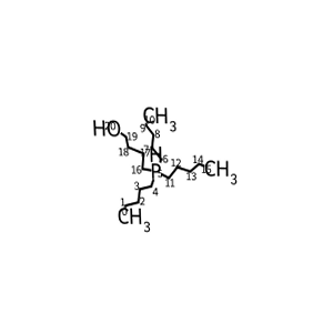 CCCCC[PH](CCCCC)(CCCCC)CCCCO